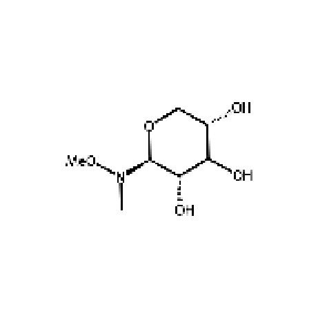 CON(C)[C@H]1OC[C@H](O)C(O)[C@@H]1O